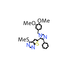 COc1ccc(Cn2cnc(-c3ccccc3)c2-c2cc3c(SC)ncnc3s2)cc1OC